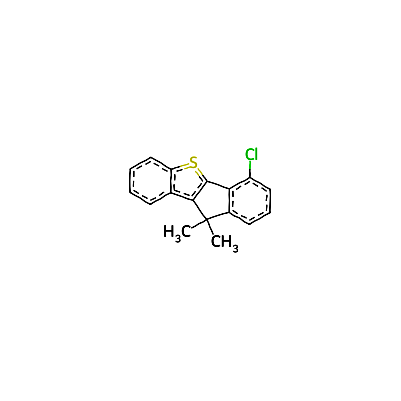 CC1(C)c2cccc(Cl)c2-c2sc3ccccc3c21